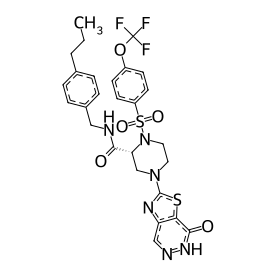 CCCc1ccc(CNC(=O)[C@H]2CN(c3nc4cn[nH]c(=O)c4s3)CCN2S(=O)(=O)c2ccc(OC(F)(F)F)cc2)cc1